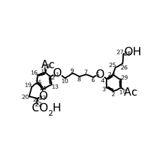 CC(=O)c1ccc(OCCCCCOc2cc3c(cc2C(C)=O)CCC(C(=O)O)O3)c(CCCO)c1